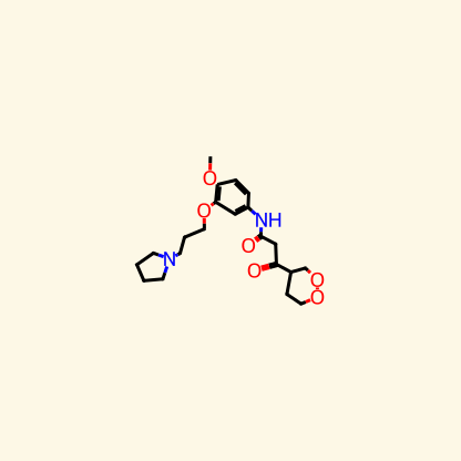 COc1ccc(NC(=O)CC(=O)C2CCOOC2)cc1OCCCN1CCCC1